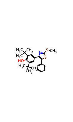 CSc1nc(-c2cc(C(C)(C)C)c(O)c(C(C)(C)C)c2)c(-c2ccccc2)s1